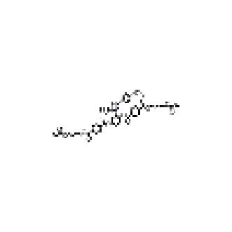 C=CC(=O)OCCCCOC(=O)C1CCC(C(=O)Oc2ccc(OC(=O)C3CCC(C(=O)OCCCCOC(=O)C=C)CC3)c(/C(N)=C/Nc3ccc([N+](=O)[O-])cc3)c2)CC1